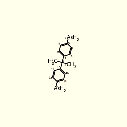 CC(C)(c1ccc([AsH2])cc1)c1ccc([AsH2])cc1